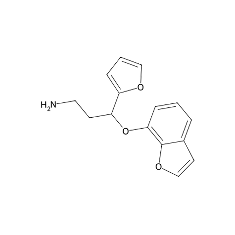 NCCC(Oc1cccc2ccoc12)c1ccco1